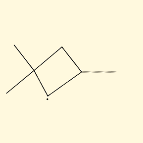 CC1[CH]C(C)(C)C1